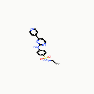 CC(C)CNS(=O)(=O)c1ccc(Nc2nccc(-c3ccncc3)n2)cc1